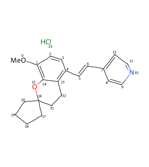 COc1ccc(C=Cc2ccncc2)c2c1OC1(CCCC1)CC2.Cl